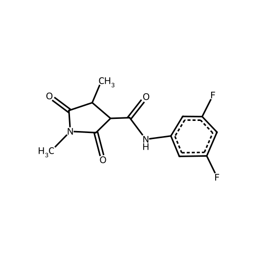 CC1C(=O)N(C)C(=O)C1C(=O)Nc1cc(F)cc(F)c1